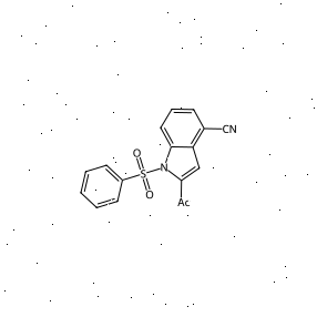 CC(=O)c1cc2c(C#N)cccc2n1S(=O)(=O)c1ccccc1